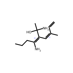 C=C/C(C)=C\C(=C(/N)CCC)C(C)(N)O